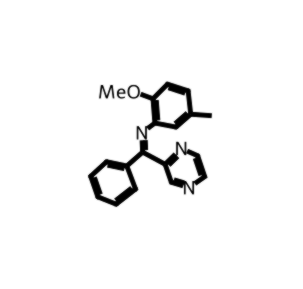 COc1ccc(C)cc1N=C(c1ccccc1)c1cnccn1